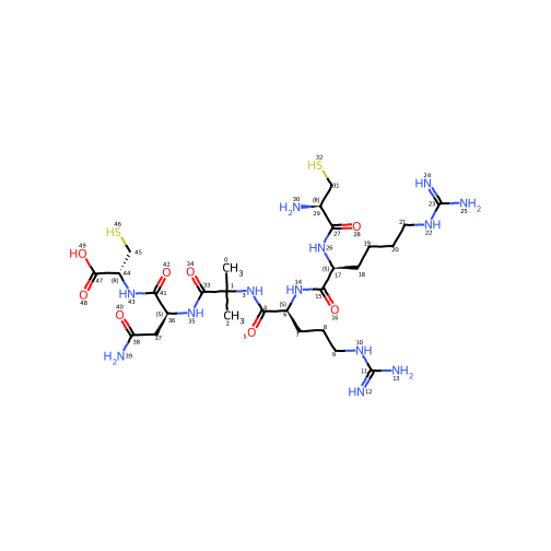 CC(C)(NC(=O)[C@H](CCCNC(=N)N)NC(=O)[C@H](CCCCNC(=N)N)NC(=O)[C@@H](N)CS)C(=O)N[C@@H](CC(N)=O)C(=O)N[C@@H](CS)C(=O)O